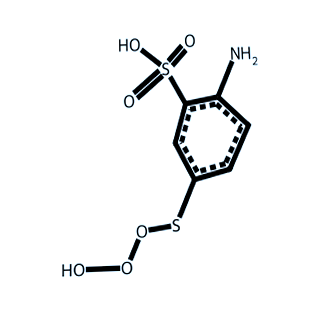 Nc1ccc(SOOO)cc1S(=O)(=O)O